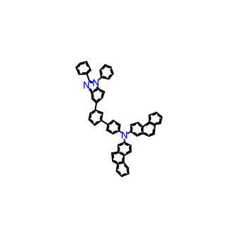 c1ccc(-c2nc3cc(-c4cccc(-c5ccc(N(c6ccc7c(ccc8ccccc87)c6)c6ccc7c(ccc8ccccc87)c6)cc5)c4)ccc3n2-c2ccccc2)cc1